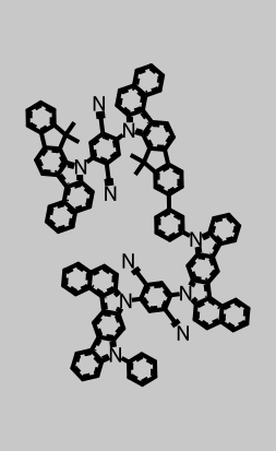 CC1(C)c2ccccc2-c2ccc3c4c5ccccc5ccc4n(-c4cc(C#N)c(-n5c6ccc7ccccc7c6c6ccc7c(c65)C(C)(C)c5cc(-c6cccc(-n8c9ccccc9c9cc%10c%11c%12ccccc%12ccc%11n(-c%11cc(C#N)c(-n%12c%13cc%14c(cc%13c%13c%15ccccc%15ccc%13%12)c%12ccccc%12n%14-c%12ccccc%12)cc%11C#N)c%10cc98)c6)ccc5-7)cc4C#N)c3c21